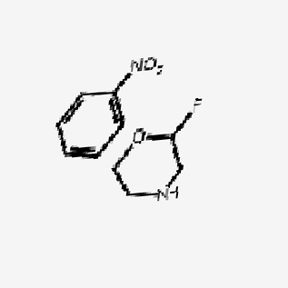 FC1CNCCO1.O=[N+]([O-])c1ccccc1